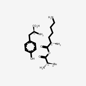 CC[C@H](C)[C@H](N)C(=O)OC(=O)[C@@H](N)CCCCN.N[C@@H](Cc1ccc(O)cc1)C(=O)O